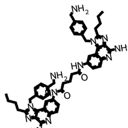 CCCCc1nc2c(N)nc3ccc(NC(=O)CCCC(=O)Nc4ccc5nc(N)c6nc(CCCC)n(Cc7ccc(CN)cc7)c6c5c4)cc3c2n1Cc1ccc(CN)cc1